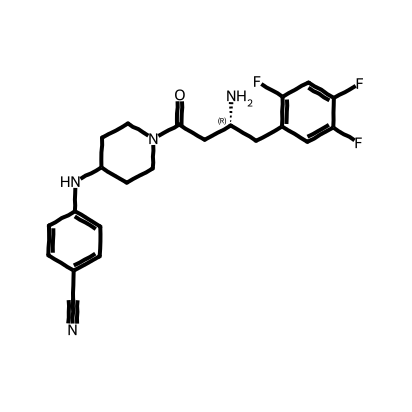 N#Cc1ccc(NC2CCN(C(=O)C[C@H](N)Cc3cc(F)c(F)cc3F)CC2)cc1